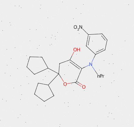 CCCN(C1=C(O)CC(C2CCCC2)(C2CCCC2)OC1=O)c1cccc([N+](=O)[O-])c1